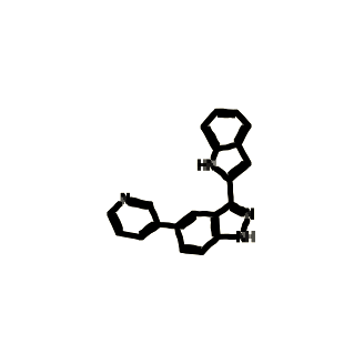 c1cncc(-c2ccc3[nH]nc(-c4cc5ccccc5[nH]4)c3c2)c1